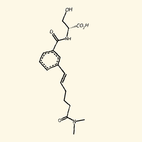 CN(C)C(=O)CCCC=Cc1cccc(C(=O)N[C@H](CO)C(=O)O)c1